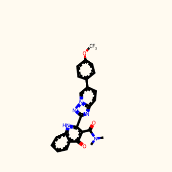 CN(C)C(=O)c1c(-c2nc3ccc(-c4ccc(OC(F)(F)F)cc4)cn3n2)[nH]c2ccccc2c1=O